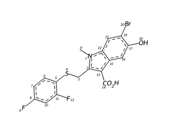 Cn1c(CSc2ccc(F)cc2F)c(C(=O)O)c2cc(O)c(Br)cc21